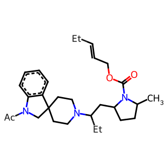 CCC=CCOC(=O)N1C(C)CCC1CC(CC)N1CCC2(CC1)CN(C(C)=O)c1ccccc12